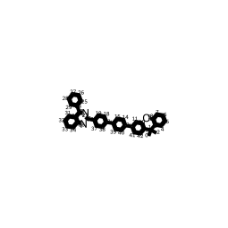 CC1(C)c2ccccc2Oc2cc(-c3ccc(-c4ccc(-c5nc(-c6ccccc6)c6ccccc6n5)cc4)cc3)ccc21